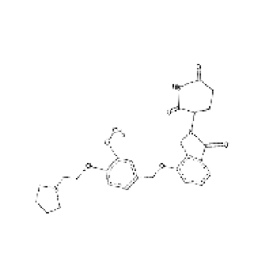 COc1cc(COc2cccc3c2CN(C2CCC(=O)NC2=O)C3=O)ccc1OCCN1CCCC1